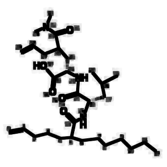 C=CCCCC(CCCCCCC)C(=O)N[C@@H](CC(C)C)C(=O)N[C@@H](CC(CC=C)C(=O)N(C)C)C(=O)O